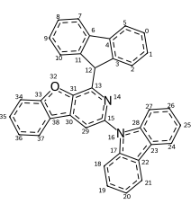 c1ccc2c(c1)-c1ccccc1C2c1nc(-n2c3ccccc3c3ccccc32)cc2c1oc1ccccc12